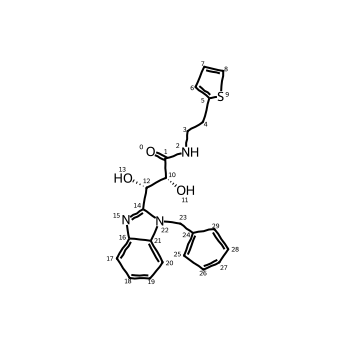 O=C(NCCc1cccs1)[C@H](O)[C@@H](O)c1nc2ccccc2n1Cc1ccccc1